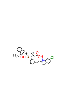 CC(C)(O)c1ccccc1CCCS[C@@H](c1cccc(/C=C/c2ccc3ccc(Cl)cc3n2)c1)C1(CC(=O)O)CC1